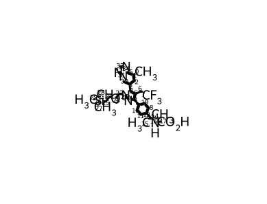 Cc1cc(-c2c(CC(F)(F)F)c(-c3ccc(C(C)(C)NC(=O)O)cc3)nn2COCC[Si](C)(C)C)cn2ncnc12